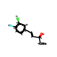 COC(=O)C=Cc1ccc(F)c(Cl)c1